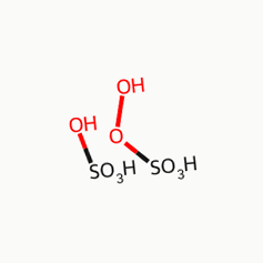 O=S(=O)(O)O.O=S(=O)(O)OO